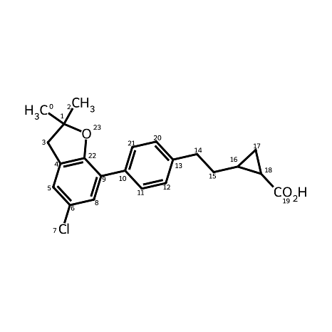 CC1(C)Cc2cc(Cl)cc(-c3ccc(CCC4CC4C(=O)O)cc3)c2O1